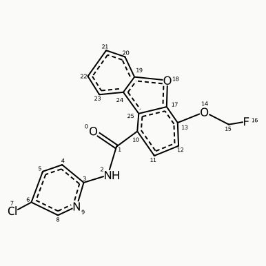 O=C(Nc1ccc(Cl)cn1)c1ccc(OCF)c2oc3ccccc3c12